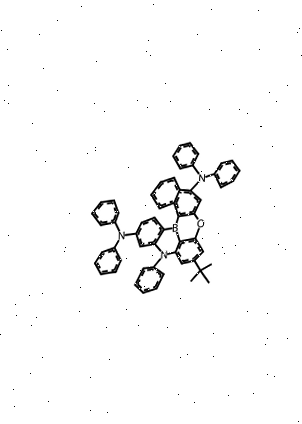 CC(C)(C)c1cc2c3c(c1)N(c1ccccc1)c1cc(N(c4ccccc4)c4ccccc4)ccc1B3c1c(cc(N(c3ccccc3)c3ccccc3)c3ccccc13)O2